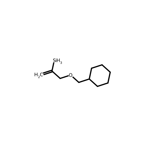 C=C([SiH3])COCC1CCCCC1